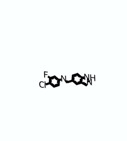 Fc1cc(N=Cc2ccc3[nH]ncc3c2)ccc1Cl